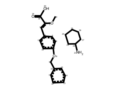 COC(=Cc1ccc(OCc2ccccc2)cc1)C(=O)O.NC1CCCCC1